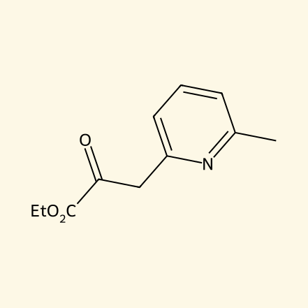 CCOC(=O)C(=O)Cc1cccc(C)n1